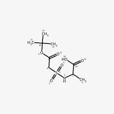 CC(NS(=O)(=O)CC(=O)OC(C)(C)C)C(=O)O